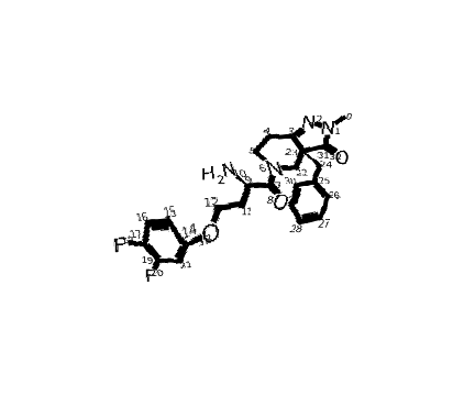 CN1N=C2CCN(C(=O)[C@H](N)CCOc3ccc(F)c(F)c3)C[C@@]2(Cc2ccccc2)C1=O